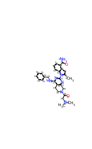 Cc1cc2c(C(N)=O)cccc2n1-c1nc2c(c(NCc3ccccc3)n1)CCN(C(=O)CN(C)C)C2